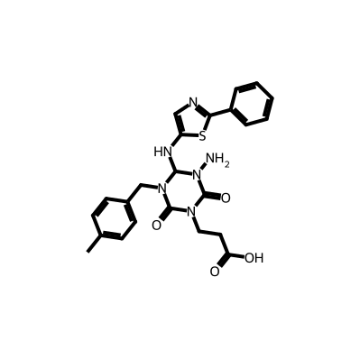 Cc1ccc(CN2C(=O)N(CCC(=O)O)C(=O)N(N)C2Nc2cnc(-c3ccccc3)s2)cc1